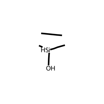 CC.C[SiH](C)O